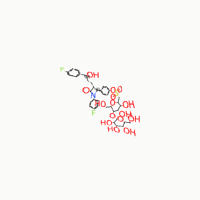 O=C1C(CC[C@H](O)c2ccc(F)cc2)[C@@H](c2ccc(OS(=O)(=O)CC3OC(CO)C(OC4OC(CO)C(O)C(O)C4O)C(O)C3O)cc2)N1c1ccc(F)cc1